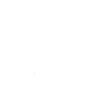 C/C=C/OCc1ccc(C(C)CC)cc1